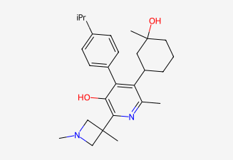 Cc1nc(C2(C)CN(C)C2)c(O)c(-c2ccc(C(C)C)cc2)c1C1CCCC(C)(O)C1